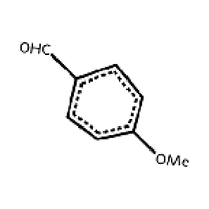 [CH2]Oc1ccc(C=O)cc1